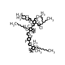 CCCCCCCCOc1c(C)c(-c2ccc(-c3cc(F)c(-c4ccc(-c5c(OCCCCCCCC)c(C)c(-c6cc7c(-c8cc(Cl)c(CC(CCCC)CCCC)s8)c8sc(C)cc8c(-c8cc(Cl)c(CC(CC)CCCC)s8)c7s6)c6nsnc56)s4)cc3F)s2)c2nsnc2c1C